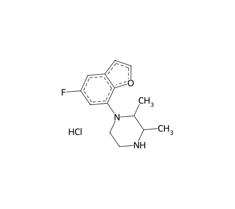 CC1NCCN(c2cc(F)cc3ccoc23)C1C.Cl